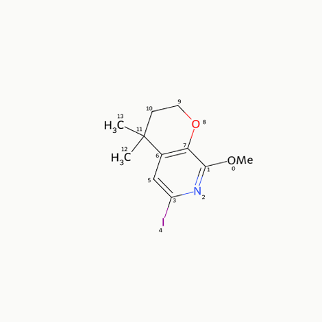 COc1nc(I)cc2c1OCCC2(C)C